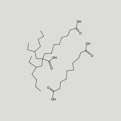 CCCCC(CC)CC(CCCCCCCC(=O)O)(CC(CC)CCCC)C(=O)O.O=C(O)CCCCCCCCC(=O)O